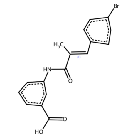 C/C(=C\c1ccc(Br)cc1)C(=O)Nc1cccc(C(=O)O)c1